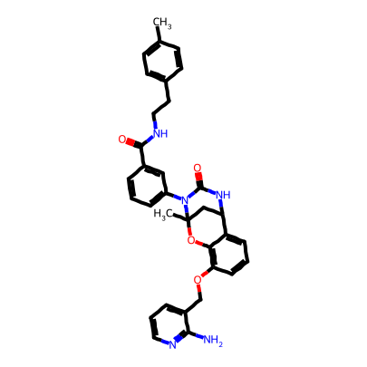 Cc1ccc(CCNC(=O)c2cccc(N3C(=O)NC4CC3(C)Oc3c(OCc5cccnc5N)cccc34)c2)cc1